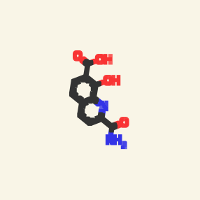 NC(=O)c1ccc2ccc(C(=O)O)c(O)c2n1